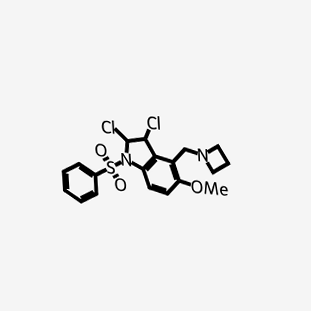 COc1ccc2c(c1CN1CCC1)C(Cl)C(Cl)N2S(=O)(=O)c1ccccc1